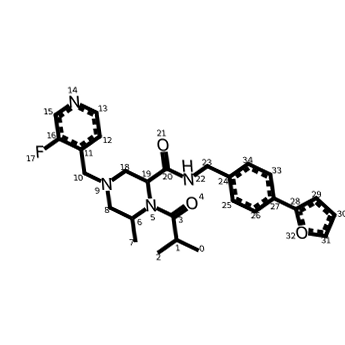 CC(C)C(=O)N1C(C)CN(Cc2ccncc2F)CC1C(=O)NCc1ccc(-c2ccco2)cc1